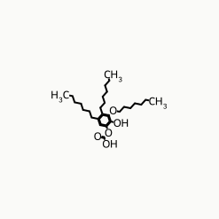 CCCCCCCOc1c(O)c(OC(=O)O)cc(CCCCCCC)c1CCCCCCC